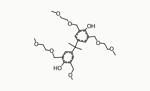 COCCOCc1cc(C(C)(C)c2cc(COCCOC)c(O)c(COCCOC)c2)cc(COC)c1O